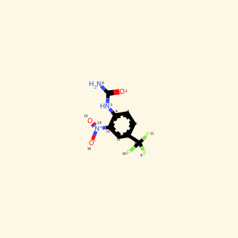 NC(=O)Nc1ccc(C(F)(F)F)cc1[N+](=O)[O-]